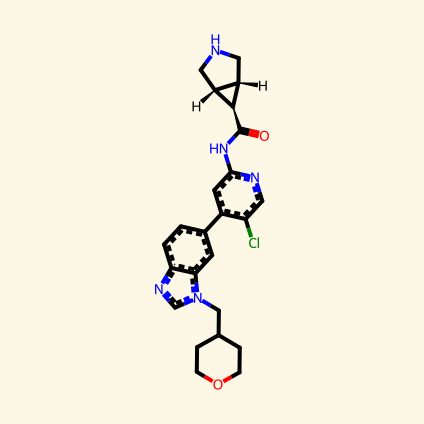 O=C(Nc1cc(-c2ccc3ncn(CC4CCOCC4)c3c2)c(Cl)cn1)[C@H]1[C@@H]2CNC[C@@H]21